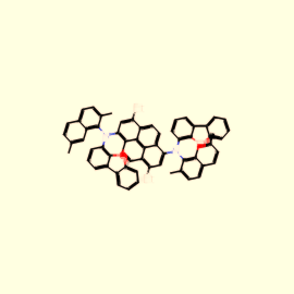 CCc1cc(N(c2c(C)ccc3ccc(C)cc23)c2cccc3c2oc2ccccc23)c2ccc3c(CC)cc(N(c4c(C)ccc5ccc(C)cc45)c4cccc5c4oc4ccccc45)c4ccc1c2c34